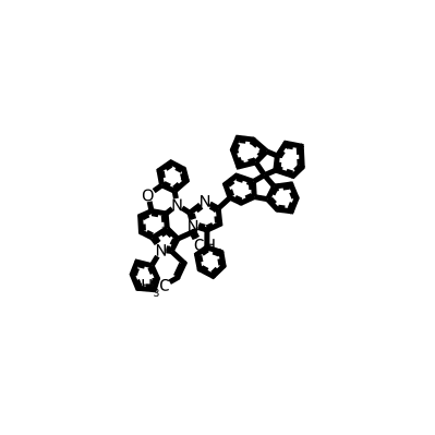 C=Cc1c(/C=C\C)n(-c2ccccc2)c2ccc3c(c12)N(c1nc(-c2ccccc2)cc(-c2ccc4c(c2)-c2ccccc2C42c4ccccc4-c4ccccc42)n1)c1ccccc1O3